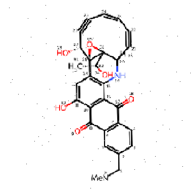 CNCc1ccc2c(c1)C(=O)c1c(O)cc3c(c1C2=O)N[C@H]1C#C/C=C\C#C[C@@H](O)[C@@]32OC12[C@@H](C)O